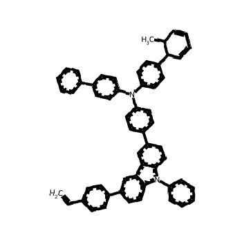 C=Cc1ccc(-c2ccc3c(c2)c2cc(-c4ccc(N(c5ccc(-c6ccccc6)cc5)c5ccc(C6C=CC=CC6C)cc5)cc4)ccc2n3-c2ccccc2)cc1